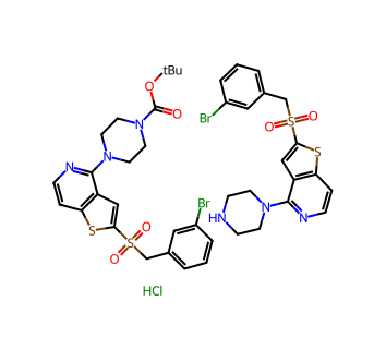 CC(C)(C)OC(=O)N1CCN(c2nccc3sc(S(=O)(=O)Cc4cccc(Br)c4)cc23)CC1.Cl.O=S(=O)(Cc1cccc(Br)c1)c1cc2c(N3CCNCC3)nccc2s1